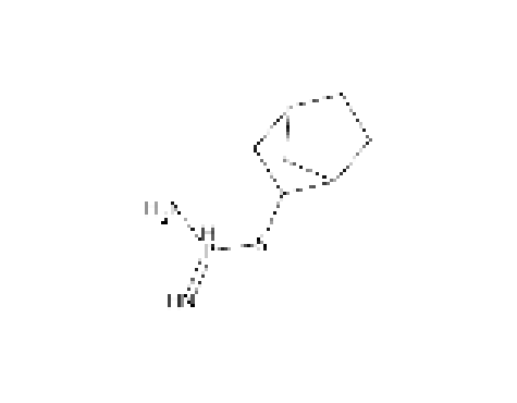 N=[PH](N)SC1CC2CCC1C2